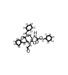 O=CCN1C(=O)[C@@H](NC(=O)OCc2ccccc2)CN(Cc2ccccc2)C(=O)[C@@H]1Cc1ccccc1